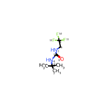 CC(C)(C)NC(=O)NCC(F)(F)F